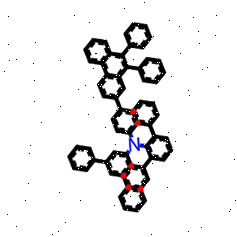 c1ccc(-c2cc(-c3ccccc3)cc(N(c3ccc(-c4ccc5c(c4)c(-c4ccccc4)c(-c4ccccc4)c4ccccc45)cc3)c3c(-c4ccccc4)cccc3-c3ccccc3)c2)cc1